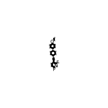 CCOc1ccc([C@H]2CC[C@H](C#Cc3ccc(F)nc3F)CC2)cc1